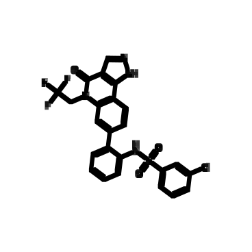 O=c1c2cn[nH]c2c2ccc(-c3ccccc3NS(=O)(=O)c3cccc(Cl)c3)cc2n1CC(F)(F)F